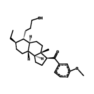 CC[C@@H]1CC[C@@H]2[C@H](CC[C@]3(C)[C@@H](C(=O)c4cccc(OC)c4)CC[C@@H]23)[C@H]1CCCO